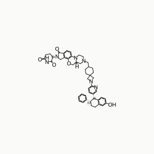 O=C1CC[C@H](N2Cc3c(ccc4c3OC[C@H]3CN(CC5CCC6(CC5)CN(c5ccc([C@@H]7c8ccc(O)cc8CC[C@@H]7c7ccccc7)cn5)C6)CCN43)C2=O)C(=O)N1